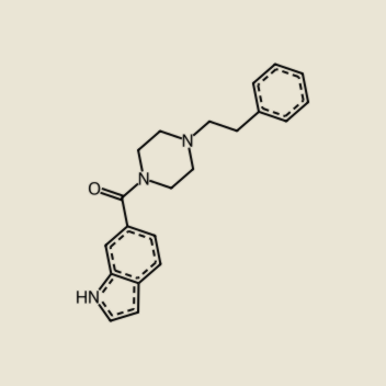 O=C(c1ccc2cc[nH]c2c1)N1CCN(CCc2ccccc2)CC1